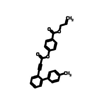 C=CCOC(=O)c1ccc(OC(=O)C#Cc2ccccc2-c2ccc(C)cc2)cc1